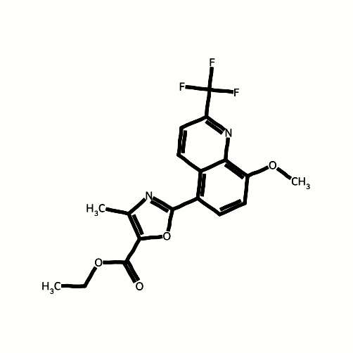 CCOC(=O)c1oc(-c2ccc(OC)c3nc(C(F)(F)F)ccc23)nc1C